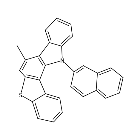 Cc1cc2sc3ccccc3c2c2c1c1ccccc1n2-c1ccc2ccccc2c1